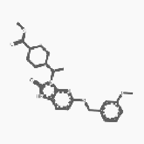 COC(=O)C1CCC(C(C)n2c(=O)[nH]c3ccc(OCc4cccc(OC)c4)nc32)CC1